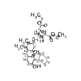 CCOC(=O)CNP(=O)(COc1cc(C)c(Cc2ccc(O)c(C3CCCCCC3)n2)c(C)c1C)NCC(=O)OCC